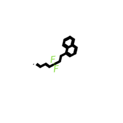 [CH2]CCCC(F)(F)CCc1cccc2ccccc12